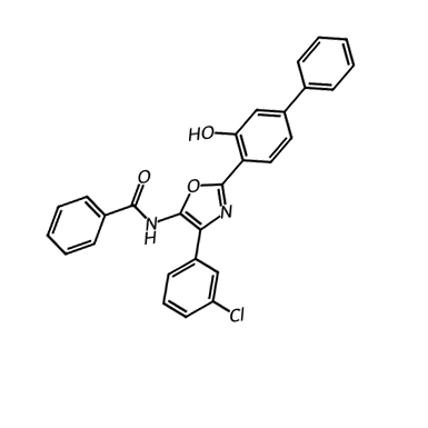 O=C(Nc1oc(-c2ccc(-c3ccccc3)cc2O)nc1-c1cccc(Cl)c1)c1ccccc1